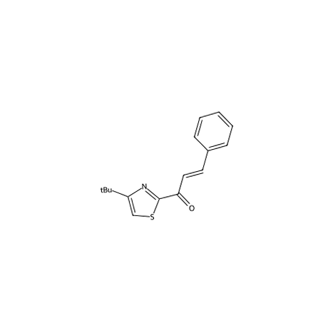 CC(C)(C)c1csc(C(=O)C=Cc2ccccc2)n1